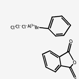 Brc1ccccc1.O=C1OC(=O)c2ccccc21.[Al+3].[Cl-].[Cl-].[Cl-]